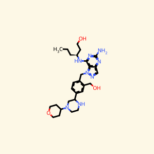 CCC[C@@H](CCO)Nc1nc(N)nc2cnn(Cc3ccc(C4CN(C5CCOCC5)CCN4)cc3CO)c12